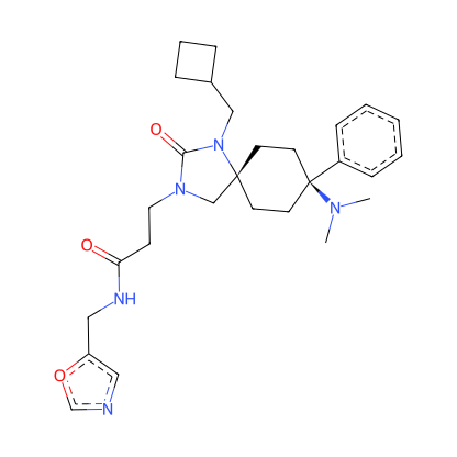 CN(C)[C@]1(c2ccccc2)CC[C@@]2(CC1)CN(CCC(=O)NCc1cnco1)C(=O)N2CC1CCC1